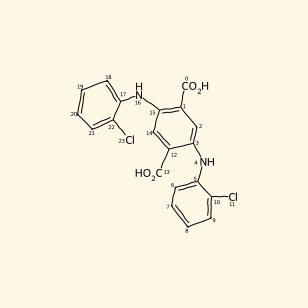 O=C(O)c1cc(Nc2ccccc2Cl)c(C(=O)O)cc1Nc1ccccc1Cl